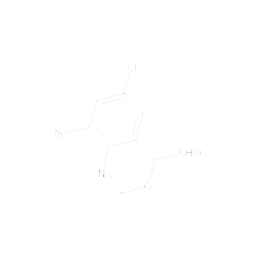 O=CC1OC=Nc2c(Br)cc(Cl)cc21